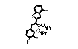 CC(C)OP(OC(C)C)C(Cc1ccc(F)c(F)c1)c1cc2c(F)cccc2s1